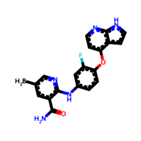 Bc1cnc(Nc2ccc(Oc3ccnc4[nH]ccc34)c(F)c2)c(C(N)=O)c1